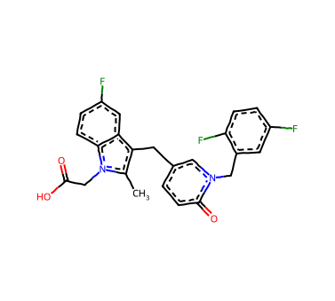 Cc1c(Cc2ccc(=O)n(Cc3cc(F)ccc3F)c2)c2cc(F)ccc2n1CC(=O)O